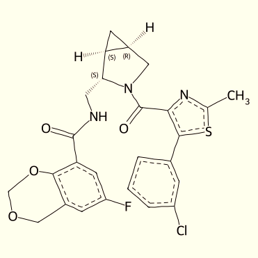 Cc1nc(C(=O)N2C[C@@H]3C[C@@H]3[C@H]2CNC(=O)c2cc(F)cc3c2OCOC3)c(-c2cccc(Cl)c2)s1